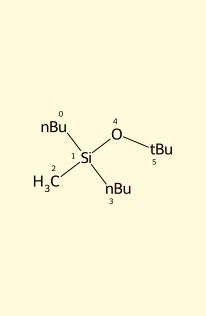 CCCC[Si](C)(CCCC)OC(C)(C)C